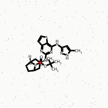 Cc1cc(Nc2nc(N[C@H]3CC4CC[C@H](C3)N4C(=O)OC(C)(C)C)nc3ccsc23)n[nH]1